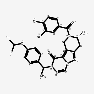 CC(c1ccc(OC(F)F)cc1)n1ncn2nc3c(c2c1=O)CN(C(=O)c1ccc(Cl)c(C#N)c1)[C@H](C)C3